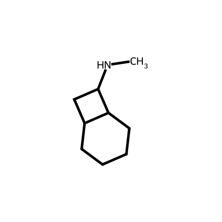 CNC1CC2CCCCC21